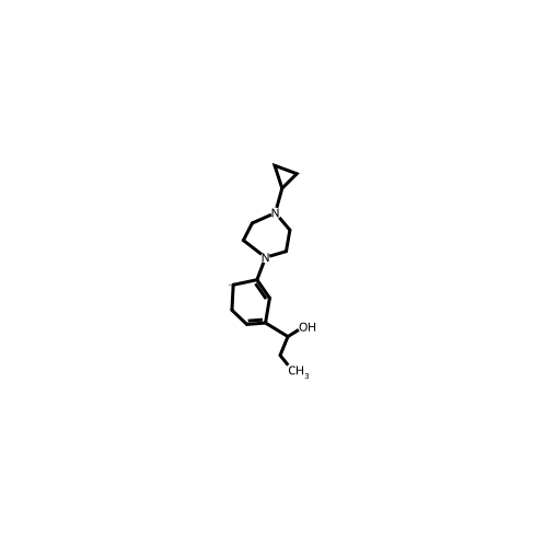 CCC(O)C1=CC[CH]C(N2CCN(C3CC3)CC2)=C1